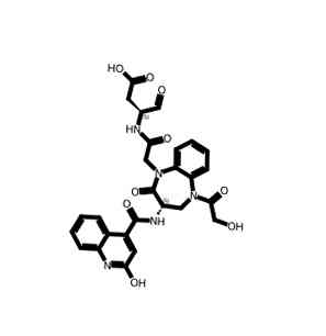 O=C[C@H](CC(=O)O)NC(=O)CN1C(=O)[C@@H](NC(=O)c2cc(O)nc3ccccc23)CN(C(=O)CO)c2ccccc21